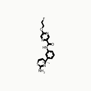 C[C@@]1(c2cccc(NC(=O)c3cnc(OCCF)cn3)c2)C=CSC(N)=N1